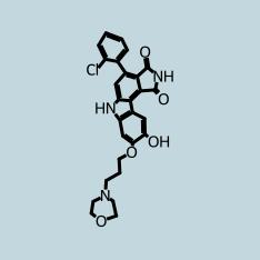 O=C1NC(=O)c2c1c(-c1ccccc1Cl)cc1[nH]c3cc(OCCCN4CCOCC4)c(O)cc3c21